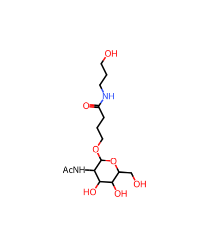 CC(=O)NC1C(OCCCC(=O)NCCCO)OC(CO)C(O)C1O